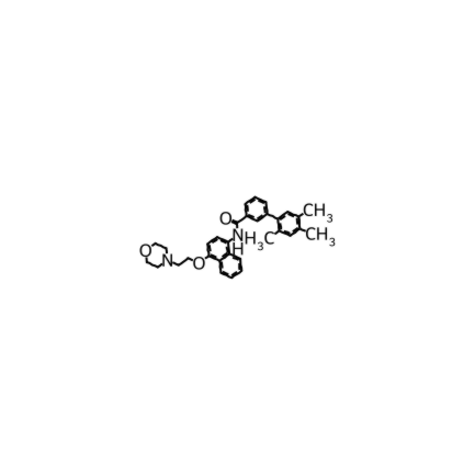 Cc1cc(C)c(-c2cccc(C(=O)Nc3ccc(OCCN4CCOCC4)c4ccccc34)c2)cc1C